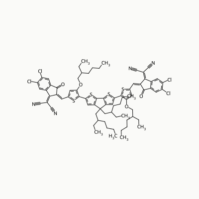 CCCCC(CC)COc1cc(/C=C2\C(=O)c3cc(Cl)c(Cl)cc3C2=C(C#N)C#N)sc1-c1cc2c(s1)-c1sc(-c3sc(/C=C4\C(=O)c5cc(Cl)c(Cl)cc5C4=C(C#N)C#N)cc3OCC(CC)CCCC)cc1C2(CC(CC)CCCC)CC(CC)CCCC